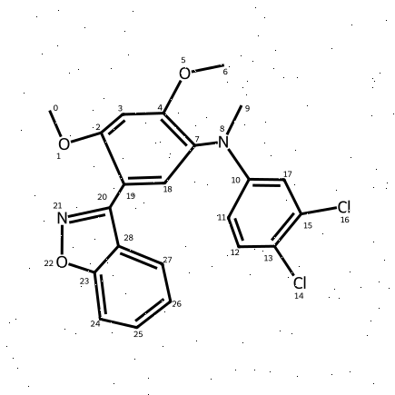 COc1cc(OC)c(N(C)c2ccc(Cl)c(Cl)c2)cc1-c1noc2ccccc12